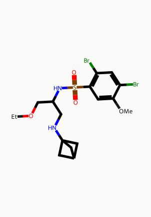 CCOCC(CNC12CC(C1)C2)NS(=O)(=O)c1cc(OC)c(Br)cc1Br